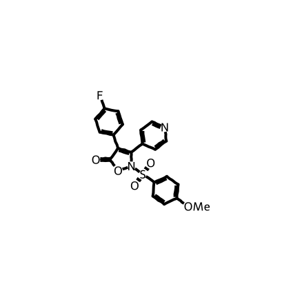 COc1ccc(S(=O)(=O)n2oc(=O)c(-c3ccc(F)cc3)c2-c2ccncc2)cc1